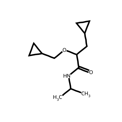 CC(C)NC(=O)C(CC1CC1)OCC1CC1